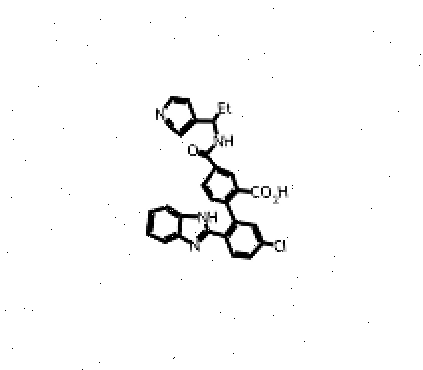 CCC(NC(=O)c1ccc(-c2cc(Cl)ccc2-c2nc3ccccc3[nH]2)c(C(=O)O)c1)c1ccncc1